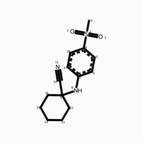 CS(=O)(=O)c1ccc(NC2(C#N)CCCCC2)cc1